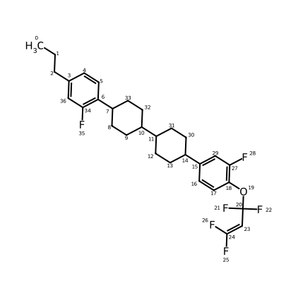 CCCc1ccc(C2CCC(C3CCC(c4ccc(OC(F)(F)C=C(F)F)c(F)c4)CC3)CC2)c(F)c1